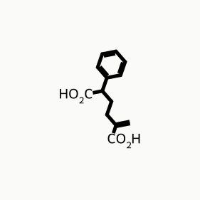 C=C(CCC(C(=O)O)c1ccccc1)C(=O)O